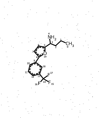 CCCC(N)c1ccc(-c2cccc(C(F)(F)F)c2)o1